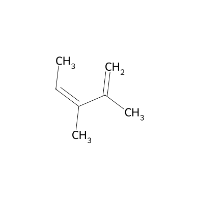 C=C(C)/C(C)=C\C